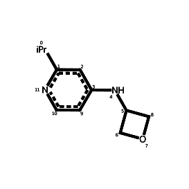 CC(C)c1cc(NC2COC2)ccn1